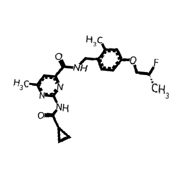 Cc1cc(C(=O)NCc2ccc(OC[C@@H](C)F)cc2C)nc(NC(=O)C2CC2)n1